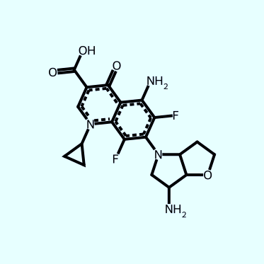 Nc1c(F)c(N2CC(N)C3OCCC32)c(F)c2c1c(=O)c(C(=O)O)cn2C1CC1